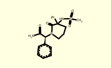 CC(C)C1(NS(C)(=O)=O)CCCN([C@H](C(N)=O)c2ccccc2)C1=O